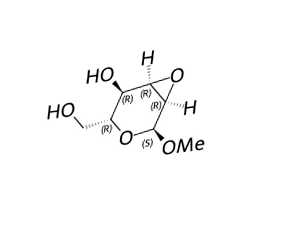 CO[C@H]1O[C@H](CO)[C@@H](O)[C@H]2O[C@@H]12